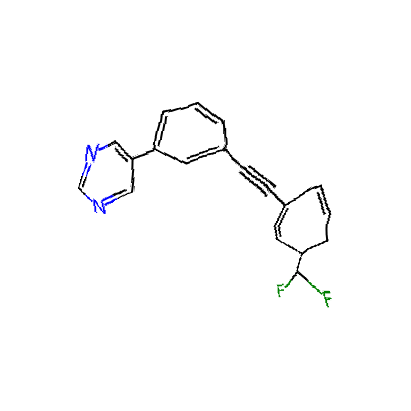 FC(F)C1C=C(C#Cc2cccc(-c3cncnc3)c2)C=CC1